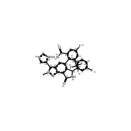 Cn1nc2c3c(c(-c4c(C(N)=O)cc(F)cc4C(F)(F)F)cc2c1-c1cnc[nH]1)C(c1cc(F)ccc1Cl)NC3=O